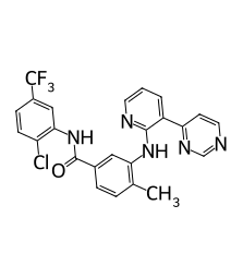 Cc1ccc(C(=O)Nc2cc(C(F)(F)F)ccc2Cl)cc1Nc1ncccc1-c1ccncn1